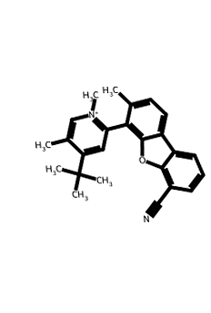 Cc1c[n+](C)c(-c2c(C)ccc3c2oc2c(C#N)cccc23)cc1C(C)(C)C